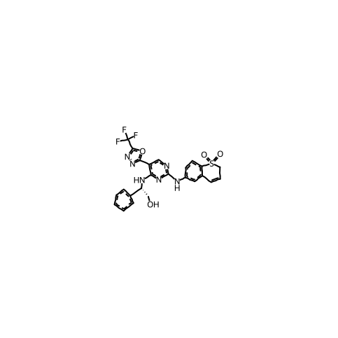 O=S1(=O)CC=Cc2cc(Nc3ncc(-c4nnc(C(F)(F)F)o4)c(N[C@H](CO)c4ccccc4)n3)ccc21